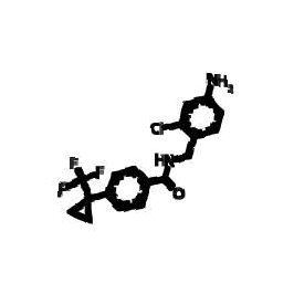 Nc1ccc(CNC(=O)c2ccc(C3(C(F)(F)F)CC3)cc2)c(Cl)c1